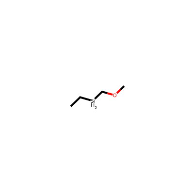 CC[SiH2]COC